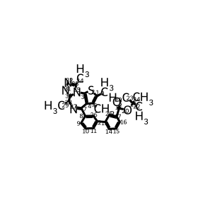 Cc1sc2c(c1C)C(c1cccc(-c3cccc(C(=O)OC(C)(C)C)c3)c1)=N[C@@H](C)c1nnc(C)n1-2